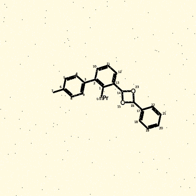 CCCc1c(-c2ccc(C)cc2)cccc1C1OC(c2ccccc2)O1